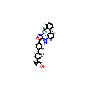 Cc1noc(-c2ccc(-c3ccc(C4(C(=O)O)CC4)cc3)cc2)c1Nc1cccc(-c2ccccc2C(F)(F)F)c1